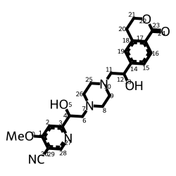 COc1cc(C(O)CN2CCN(CC(O)c3ccc4c(c3)CCOC4=O)CC2)ncc1C#N